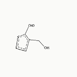 O=Cc1sccc1CO